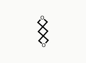 C1OCC12CC1(COC1)C2